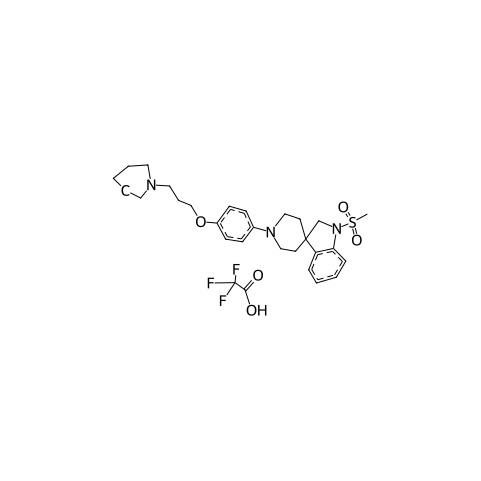 CS(=O)(=O)N1CC2(CCN(c3ccc(OCCCN4CCCCC4)cc3)CC2)c2ccccc21.O=C(O)C(F)(F)F